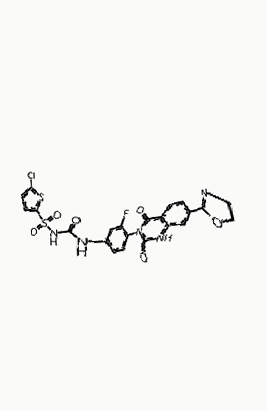 O=C(Nc1ccc(-n2c(=O)[nH]c3cc(C4=NCCO4)ccc3c2=O)c(F)c1)NS(=O)(=O)c1ccc(Cl)s1